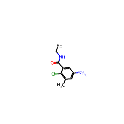 CC(=O)CNC(=O)c1cc(N)cc(C)c1Cl